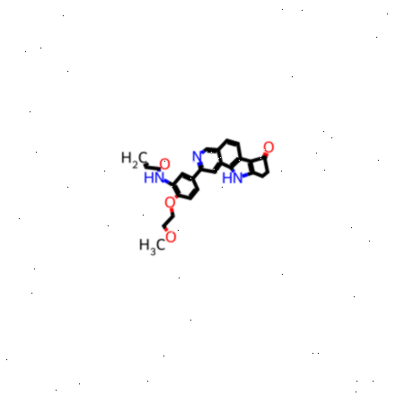 C=CC(=O)Nc1cc(-c2cc3c(ccc4c5c([nH]c43)CCC5=O)cn2)ccc1OCCOC